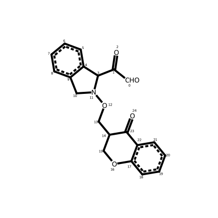 O=CC(=O)C1c2ccccc2CN1OCC1COc2ccccc2C1=O